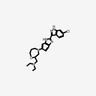 CCN(CC)CC1CN(c2ccc3nc(-c4n[nH]c5cc(Cl)ccc45)[nH]c3c2)CCCO1